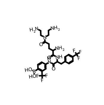 NCCN(CCN)C(=O)CCC(N)C(=O)NC(Cc1ccc(C(F)(F)F)cc1)C(=O)Nc1ccc(B(O)O)c(C(F)(F)F)c1